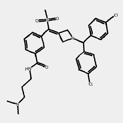 CN(C)CCCNC(=O)c1cccc(C(=C2CN(C(c3ccc(Cl)cc3)c3ccc(Cl)cc3)C2)S(C)(=O)=O)c1